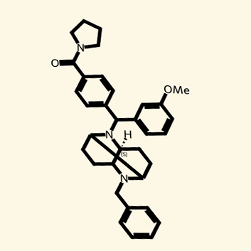 COc1cccc(C(c2ccc(C(=O)N3CCCC3)cc2)N2C3CCC4[C@@H]2CCC3N4Cc2ccccc2)c1